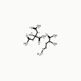 CSCCC(O)C(=O)O.O=C(O)CC(O)(CC(=O)O)C(=O)O